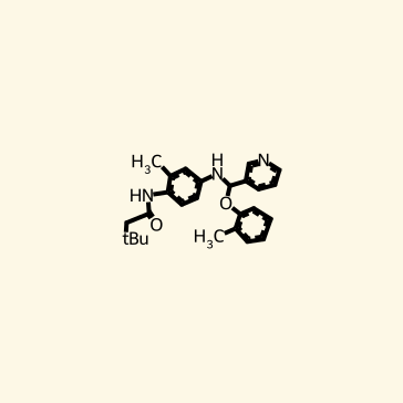 Cc1cc(NC(Oc2ccccc2C)c2cccnc2)ccc1NC(=O)CC(C)(C)C